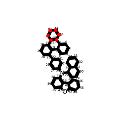 c1ccc(-c2ccccc2-c2c(-c3ccccc3)cccc2-c2ccc(N(c3cccc4ccccc34)c3cccc4oc5ccccc5c34)cc2)cc1